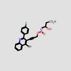 CC(C)c1c(C#CCO[PH](=O)CC(O)CC(=O)O)c(-c2ccc(F)cc2)nc2ccccc12